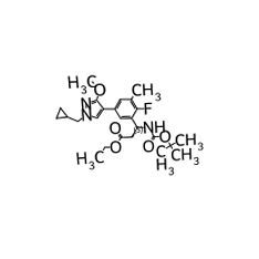 CCOC(=O)C[C@H](NC(=O)OC(C)(C)C)c1cc(-c2cn(CC3CC3)nc2OC)cc(C)c1F